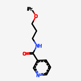 CC(C)OCCCNC(=O)c1cccnc1